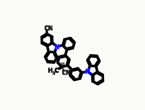 C[C@@]1(C#N)CC=C(c2ccccc2-n2c3ccccc3c3ccc(C#N)cc32)C=C1c1cccc(-n2c3ccccc3c3ccccc32)c1